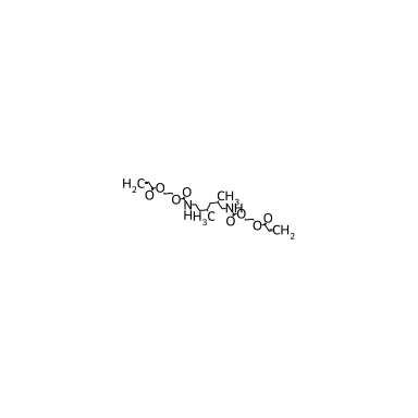 C=CC(=O)OCCOC(=O)NCCC(C)CC(C)CNC(=O)OCCOC(=O)C=C